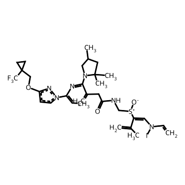 C=CN(I)/C=C(\C(=C)C)[S+]([O-])CNC(=O)CC(=C)/C(=N\C(=C/C)n1ccc(OCC2(C(F)(F)F)CC2)n1)N1CC(C)CC1(C)C